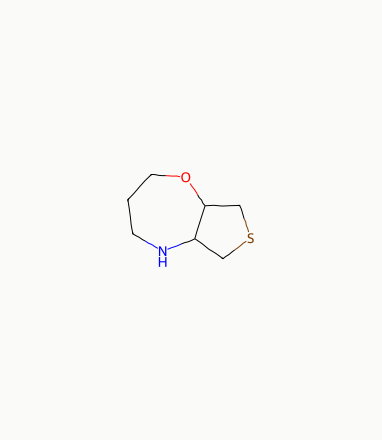 C1CNC2CSCC2OC1